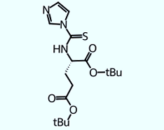 CC(C)(C)OC(=O)CC[C@H](NC(=S)n1ccnc1)C(=O)OC(C)(C)C